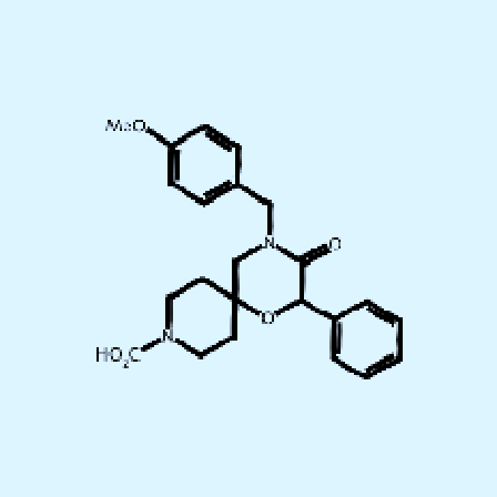 COc1ccc(CN2CC3(CCN(C(=O)O)CC3)OC(c3ccccc3)C2=O)cc1